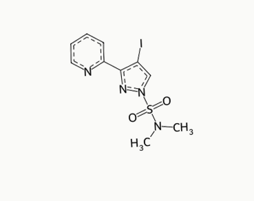 CN(C)S(=O)(=O)n1cc(I)c(-c2ccccn2)n1